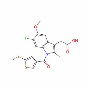 COc1cc2c(CC(=O)O)c(C)n(C(=O)c3csc(SC)c3)c2cc1F